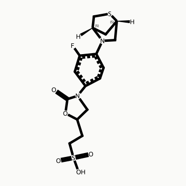 O=C1OC(CCS(=O)(=O)O)CN1c1ccc(N2C[C@@H]3C[C@H]2CS3)c(F)c1